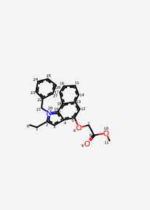 CCc1cc2c(OCC(=O)OC)cc3ccccc3c2n1Cc1ccccc1